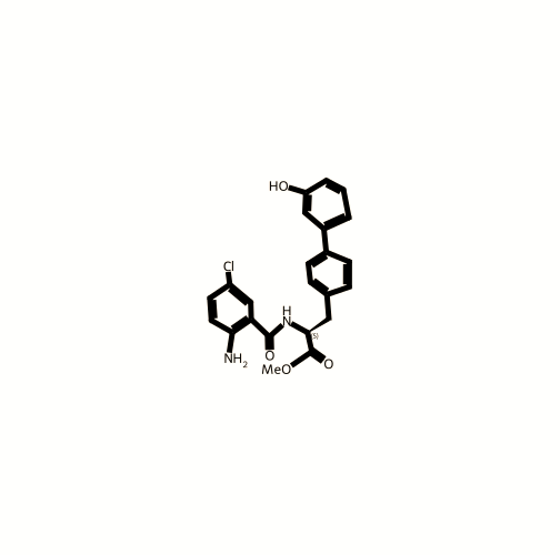 COC(=O)[C@H](Cc1ccc(-c2cccc(O)c2)cc1)NC(=O)c1cc(Cl)ccc1N